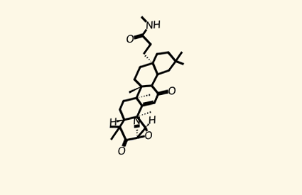 CNC(=O)CC[C@]12CCC(C)(C)CC1C1C(=O)C=C3[C@@]4(C)[C@H]5O[C@@]5(C#N)C(=O)C(C)(C)[C@@H]4CC[C@@]3(C)[C@]1(C)CC2